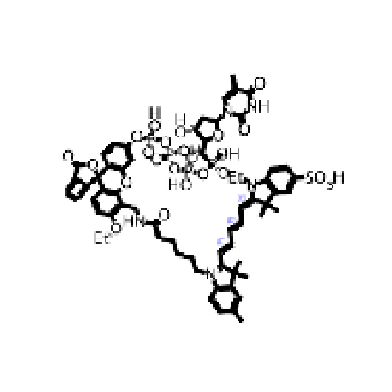 CCOc1ccc2c(c1CNC(=O)CCCCC[N+]1=C(/C=C/C=C/C=C3/N(CC)c4ccc(S(=O)(=O)O)cc4C3(C)C)C(C)(C)c3cc(C)ccc31)Oc1cc(OP(=O)(O)OP(=O)(O)OP(=O)(O)OP(=O)(O)CC3OC(n4cc(C)c(=O)[nH]c4=O)C[C@@H]3O)ccc1C21OC(=O)c2ccccc21